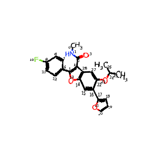 CNC(=O)c1c(-c2ccc(F)cc2)oc2cc(-c3ccco3)c(OC(C)C)cc12